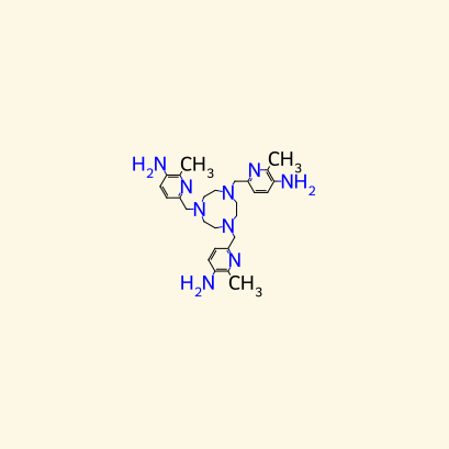 Cc1nc(CN2CCN(Cc3ccc(N)c(C)n3)CCN(Cc3ccc(N)c(C)n3)CC2)ccc1N